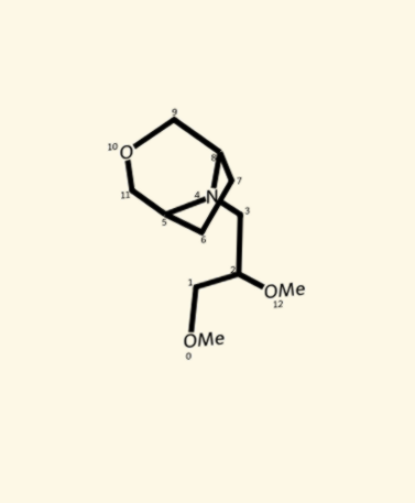 COCC(CN1C2CCC1COC2)OC